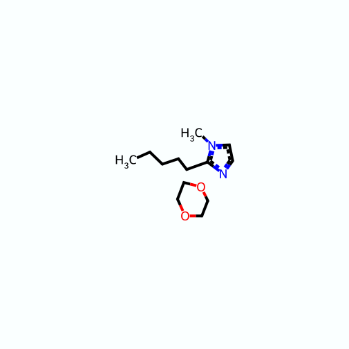 C1COCCO1.CCCCCc1nccn1C